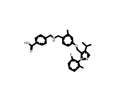 Cc1cc(OCc2c(C(C)C)cnn2-c2c(F)cccc2F)ccc1CNCc1ccc(C(=O)O)cc1